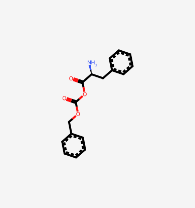 N[C@@H](Cc1ccccc1)C(=O)OC(=O)OCc1ccccc1